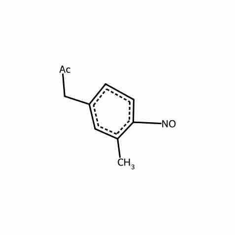 CC(=O)Cc1ccc(N=O)c(C)c1